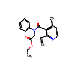 C=Cc1nccc(C)c1C(=O)N(CC(=O)OCC)c1ccccc1